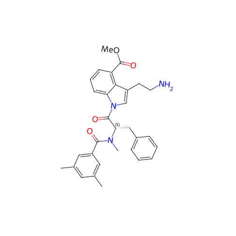 COC(=O)c1cccc2c1c(CCN)cn2C(=O)[C@H](Cc1ccccc1)N(C)C(=O)c1cc(C)cc(C)c1